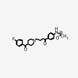 CS(=O)(=O)Nc1ccc(C(=O)CCCN2CCC(C(=O)c3ccc(F)cc3)CC2)cc1